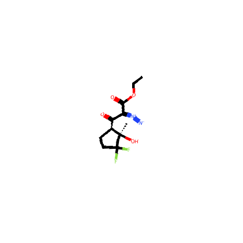 CCOC(=O)C(=[N+]=[N-])C(=O)[C@@H]1CCC(F)(F)[C@]1(C)O